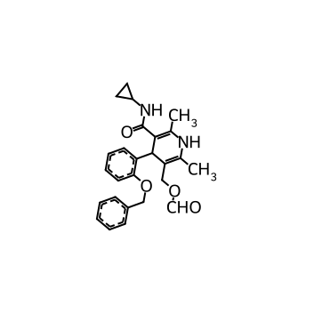 CC1=C(COC=O)C(c2ccccc2OCc2ccccc2)C(C(=O)NC2CC2)=C(C)N1